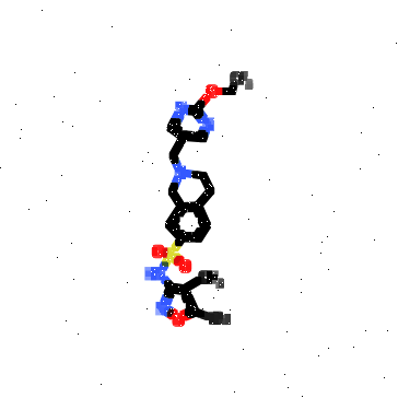 Cc1c(NS(=O)(=O)c2ccc3c(c2)CN(Cc2cnc(OCC(F)(F)F)nc2)CC3)noc1C(C)(C)C